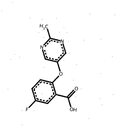 Cc1ncc(Oc2ccc(F)cc2C(=O)O)cn1